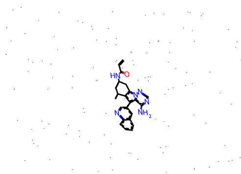 C=CC(=O)NC1Cc2c(c(-c3cnc4ccccc4c3)c3c(N)ncnn23)C(C)C1